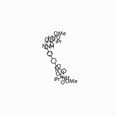 COC(=O)N[C@H](C(=O)N1CCCC1c1ncc(C2CCC(c3ccc(-c4cnc([C@@H]5CCCN5C(=O)[C@H](NC(=O)OC)C(C)C)[nH]4)cc3)CC2)o1)C(C)C